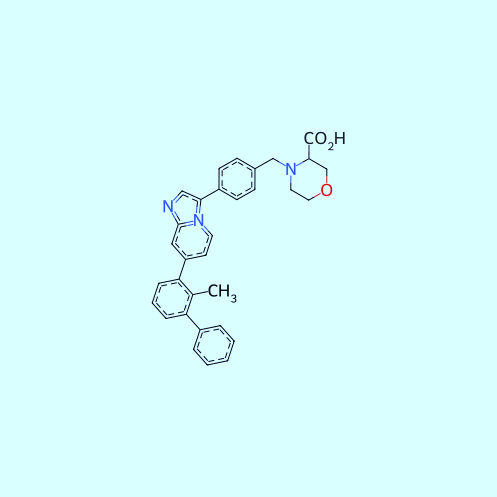 Cc1c(-c2ccccc2)cccc1-c1ccn2c(-c3ccc(CN4CCOCC4C(=O)O)cc3)cnc2c1